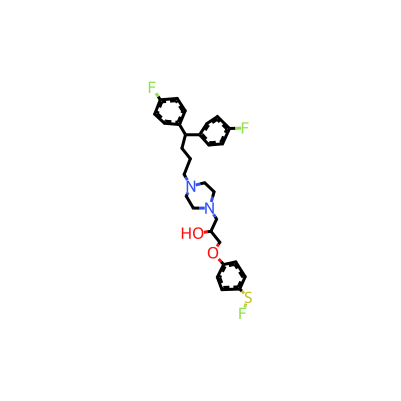 OC(COc1ccc(SF)cc1)CN1CCN(CCCC(c2ccc(F)cc2)c2ccc(F)cc2)CC1